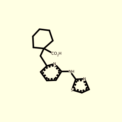 O=C(O)C1(Cc2cccc(Nc3nccs3)n2)CCCCC1